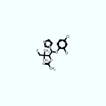 CC(=O)OC(C(Oc1ccc(Cl)cc1Cl)n1ccnc1)C(C)(C)CF